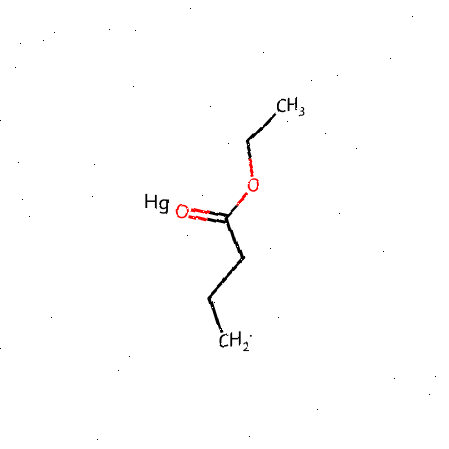 [CH2]CCC(=O)OCC.[Hg]